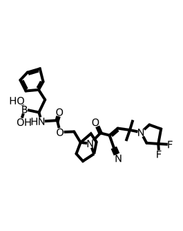 CC(C)(C=C(C#N)C(=O)N1C2CCC1(COC(=O)NC(Cc1ccccc1)B(O)O)CC2)N1CCC(F)(F)C1